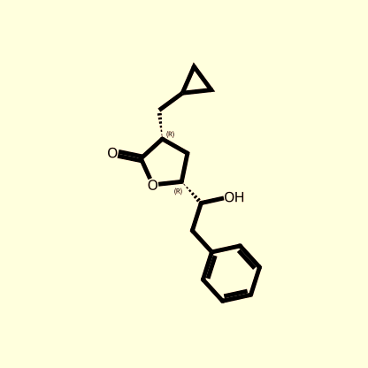 O=C1O[C@@H](C(O)Cc2ccccc2)C[C@H]1CC1CC1